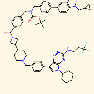 CC(C)(C)OC(=O)N(Cc1ccc(C(=O)N2CC(C3CCN(Cc4ccc(-c5cn(C6CCCCC6)c6nc(NCCC(F)(F)F)ncc56)cc4)CC3)C2)cc1)Cc1ccc(-c2ccc3c(cnn3CC3CC3)c2)cc1